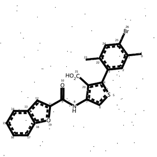 Cc1cc(-c2scc(NC(=O)c3cc4ccccc4o3)c2C(=O)O)c(C)cc1Br